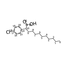 CCCCCCCCCCC(C(=O)O)c1ccc(Cl)cc1